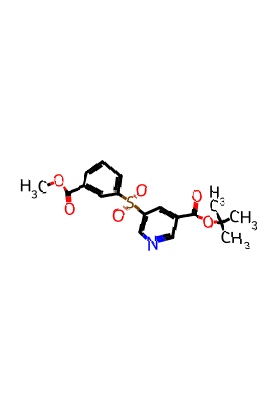 COC(=O)c1cccc(S(=O)(=O)c2cncc(C(=O)OC(C)(C)C)c2)c1